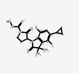 CC(C)(C)OC(=O)N1CCC(N2C(=O)C(C)(C)c3c(F)c(C4CC4)cc(F)c32)C1=O